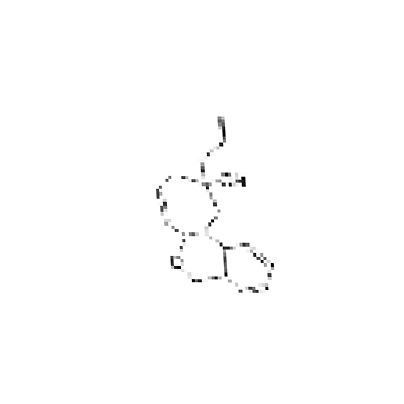 C=CCC1(O)CC=CC2OCC3C=CC=CC3C2C1